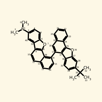 CN(C)c1ccc2oc3c(ccc4cccc(-c5cc6ccccc6c6oc7cc(C(C)(C)C)ccc7c56)c43)c2c1